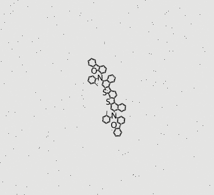 Cc1ccccc1N(c1cc2sc3c(ccc4c3sc3cc(N(c5ccccc5C)c5cccc6c5oc5ccccc56)c5ccccc5c34)c2c2ccccc12)c1cccc2c1oc1ccccc12